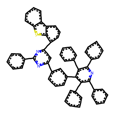 c1ccc(-c2nc(-c3cccc(-c4c(-c5ccccc5)c(-c5ccccc5)nc(-c5ccccc5)c4-c4ccccc4)c3)cc(-c3cccc4c3sc3ccccc34)n2)cc1